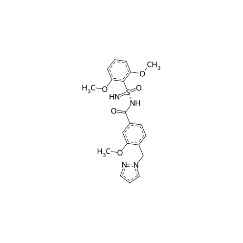 COc1cc(C(=O)N[S@@](=N)(=O)c2c(OC)cccc2OC)ccc1Cn1cccn1